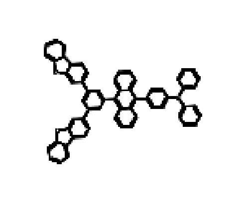 c1ccc(N(c2ccccc2)c2ccc(-c3c4ccccc4c(-c4cc(-c5ccc6c(c5)oc5ccccc56)cc(-c5ccc6c(c5)oc5ccccc56)c4)c4ccccc34)cc2)cc1